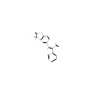 NC(=O)c1c(-c2ccc3c(c2)C(F)(F)C(=O)N3)oc2ccccc12